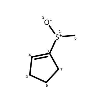 C[S+]([O-])C1=CCCC1